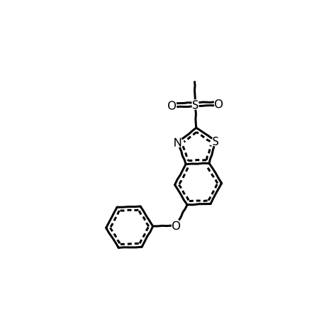 CS(=O)(=O)c1nc2cc(Oc3ccccc3)ccc2s1